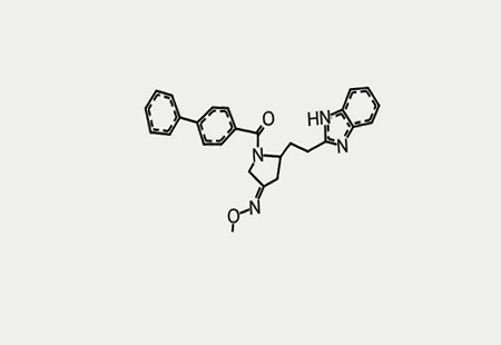 CON=C1CC(CCc2nc3ccccc3[nH]2)N(C(=O)c2ccc(-c3ccccc3)cc2)C1